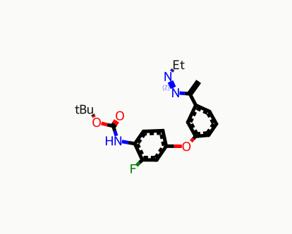 C=C(/N=N\CC)c1cccc(Oc2ccc(NC(=O)OC(C)(C)C)c(F)c2)c1